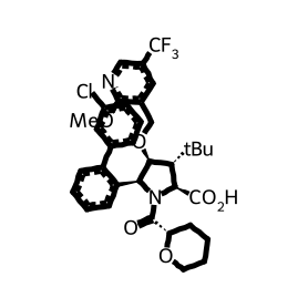 COc1ncc(C(F)(F)F)cc1CO[C@H]1[C@H](C(C)(C)C)[C@@H](C(=O)O)N(C(=O)[C@@H]2CCCCO2)[C@H]1c1ccccc1-c1cccc(Cl)c1